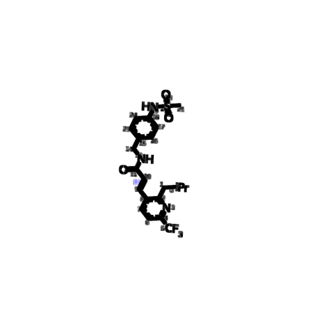 CC(C)Cc1nc(C(F)(F)F)ccc1/C=C/C(=O)NCc1ccc(NS(C)(=O)=O)cc1